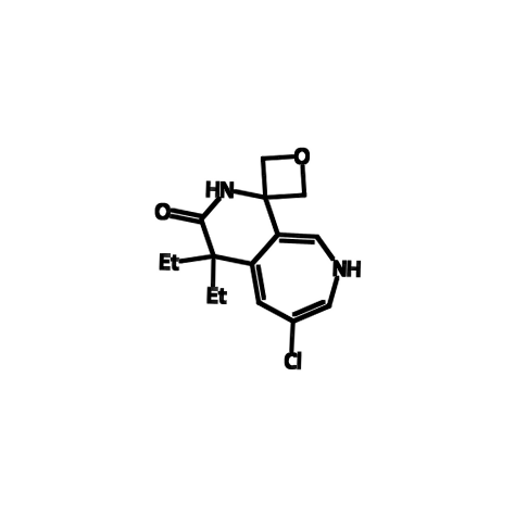 CCC1(CC)C(=O)NC2(COC2)C2=CNC=C(Cl)C=C21